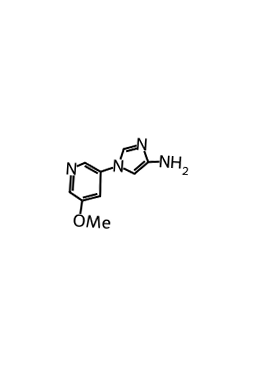 COc1cncc(-n2cnc(N)c2)c1